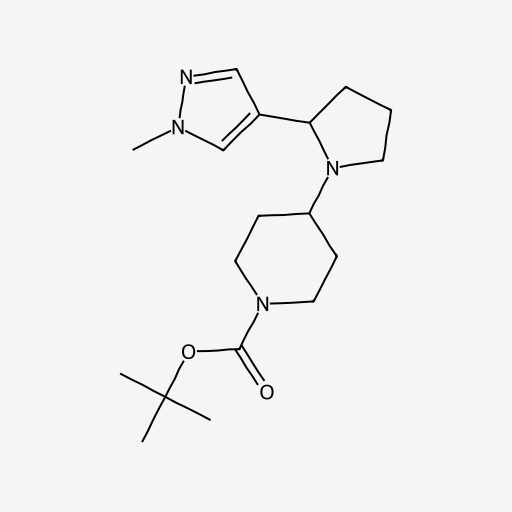 Cn1cc(C2CCCN2C2CCN(C(=O)OC(C)(C)C)CC2)cn1